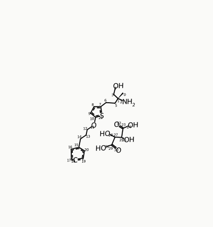 C[C@](N)(CO)CCc1ccc(OCCCc2ccccc2)s1.O=C(O)C(O)C(O)C(=O)O